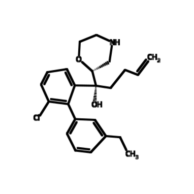 C=CCC[C@@](O)(c1cccc(Cl)c1-c1cccc(CC)c1)[C@H]1CNCCO1